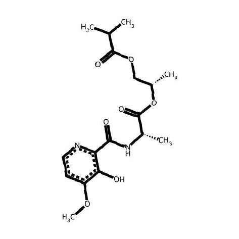 COc1ccnc(C(=O)N[C@@H](C)C(=O)O[C@@H](C)COC(=O)C(C)C)c1O